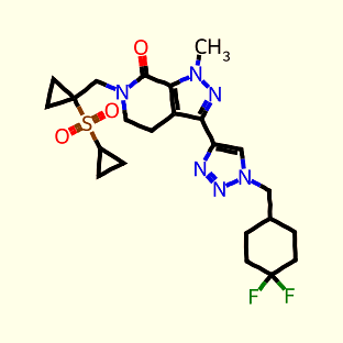 Cn1nc(-c2cn(CC3CCC(F)(F)CC3)nn2)c2c1C(=O)N(CC1(S(=O)(=O)C3CC3)CC1)CC2